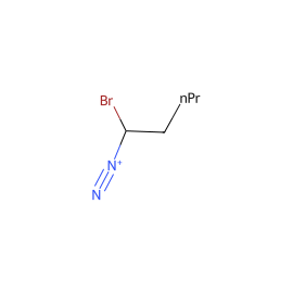 CCCCC(Br)[N+]#N